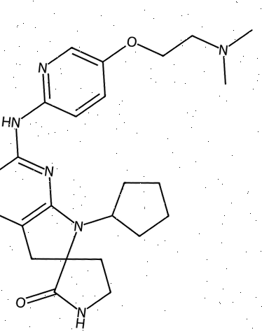 CN(C)CCOc1ccc(Nc2ncc3c(n2)N(C2CCCC2)C2(CCNC2=O)C3)nc1